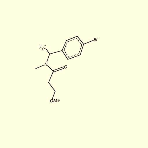 COCCC(=O)N(C)C(c1ccc(Br)cc1)C(F)(F)F